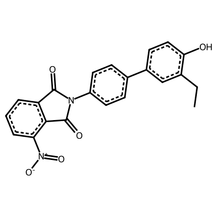 CCc1cc(-c2ccc(N3C(=O)c4cccc([N+](=O)[O-])c4C3=O)cc2)ccc1O